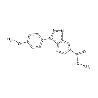 COC(=O)c1ccc2c(c1)nnn2-c1ccc(OC)cc1